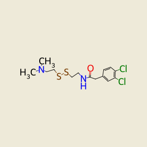 CN(C)CCSSCCNC(=O)Cc1ccc(Cl)c(Cl)c1